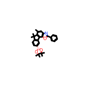 Cc1cc2nc(-c3ccccc3)oc2c2c1C(C)(C)c1ccc(B3OC(C)(C)C(C)(C)O3)cc1-2